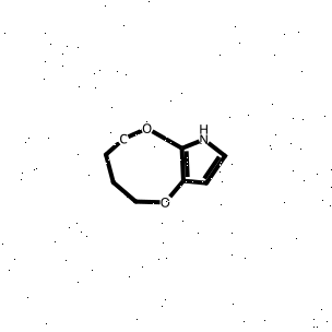 c1cc2c([nH]1)OCCCCO2